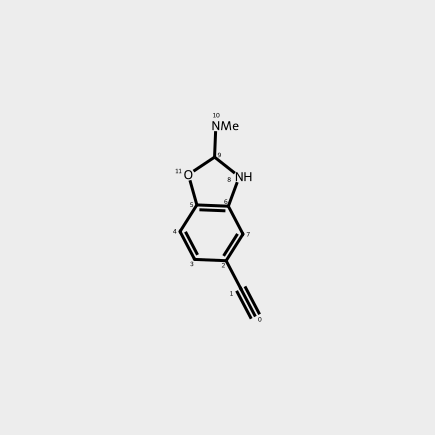 C#Cc1ccc2c(c1)NC(NC)O2